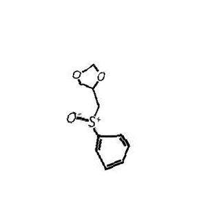 [O-][S+](CC1COCO1)c1ccccc1